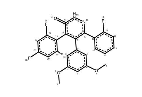 COc1cc(OC)cc(-c2c(-c3ccccc3F)n[nH]c(=O)c2-c2c(F)cc(F)cc2F)c1